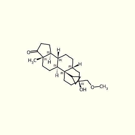 COC[C@]1(O)CC[C@@]2(C3CC3)[C@H](CC[C@@H]3[C@@H]2CC[C@]2(C)C(=O)CC[C@@H]32)C1